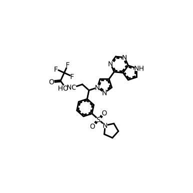 N#CCC(c1cccc(S(=O)(=O)N2CCCC2)c1)n1cc(-c2ncnc3[nH]ccc23)cn1.O=C(O)C(F)(F)F